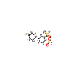 CS(=O)(=O)c1[c]cc(-c2ccc(F)cc2)cc1S(C)(=O)=O